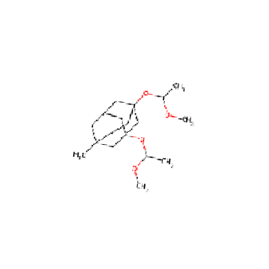 COC(C)OC12CC3CC(C)(C1)CC(OC(C)OC)(C3)C2